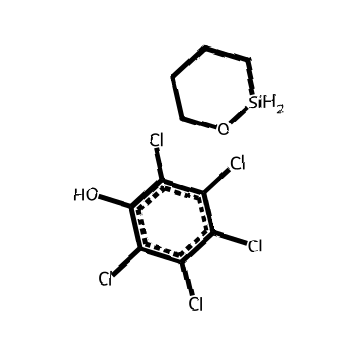 C1CC[SiH2]OC1.Oc1c(Cl)c(Cl)c(Cl)c(Cl)c1Cl